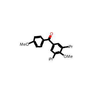 COc1ccc(C(=O)c2cc(C(C)C)c(OC)c(C(C)C)c2)cc1